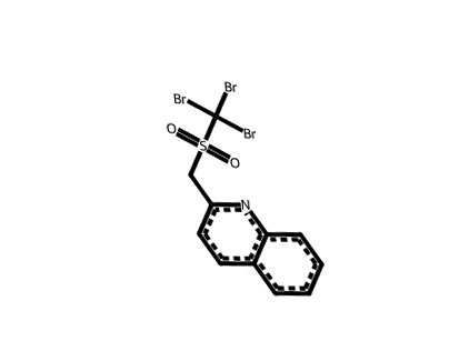 O=S(=O)(Cc1ccc2ccccc2n1)C(Br)(Br)Br